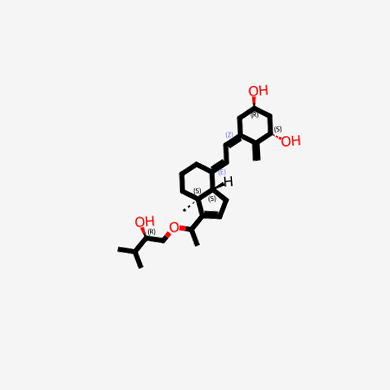 C=C1/C(=C\C=C2/CCC[C@]3(C)C(C(C)OC[C@H](O)C(C)C)=CC[C@@H]23)C[C@@H](O)C[C@@H]1O